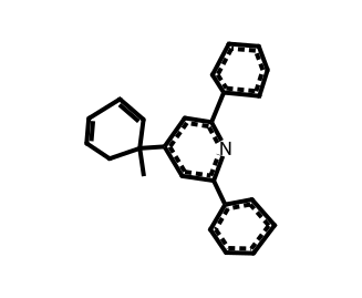 CC1(c2cc(-c3ccccc3)nc(-c3ccccc3)c2)C=CC=CC1